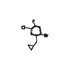 Fc1cc(Br)c(CC2CC2)cc1Cl